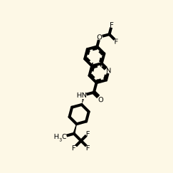 CC([C@H]1CC[C@H](NC(=O)c2cnc3cc(OC(F)F)ccc3c2)CC1)C(F)(F)F